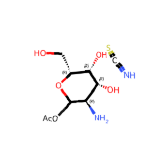 CC(=O)OC1O[C@H](CO)[C@H](O)[C@H](O)[C@H]1N.N=C=S